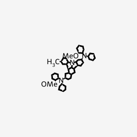 COc1ccccc1N(c1ccccc1)c1ccc2cc3c4ccc(N(c5ccccc5)c5ccccc5OC)cc4n4c5ccc(C)cc5c(c2c1)c34